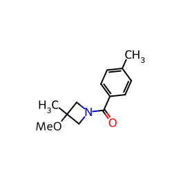 COC1(C)CN(C(=O)c2ccc(C)cc2)C1